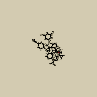 C[C@@]1(Cc2ccc(C#N)cc2)C(=O)N(c2cc(Cl)cc(Cl)c2)c2ncc(C(=O)NC3(C(=O)NC4(c5cc(CN6CCC6)ccn5)CC4)CC3)n21